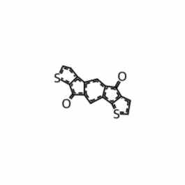 O=c1c2cc3c(cc2c2sccc12)c(=O)c1sccc13